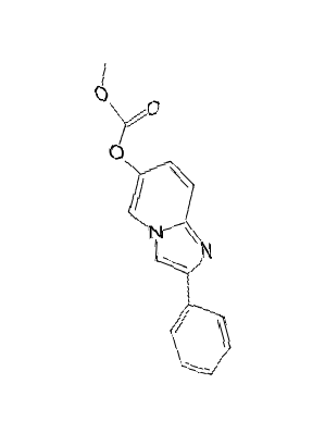 COC(=O)Oc1ccc2nc(-c3ccccc3)cn2c1